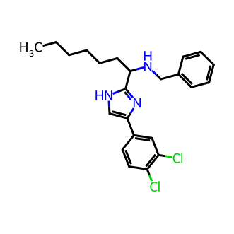 CCCCCCC(NCc1ccccc1)c1nc(-c2ccc(Cl)c(Cl)c2)c[nH]1